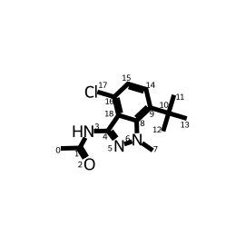 CC(=O)Nc1nn(C)c2c(C(C)(C)C)ccc(Cl)c12